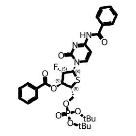 CC(C)(C)OP(=O)(OC[C@H]1S[C@@H](n2ccc(NC(=O)c3ccccc3)nc2=O)[C@@H](F)[C@@H]1OC(=O)c1ccccc1)OC(C)(C)C